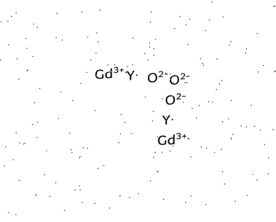 [Gd+3].[Gd+3].[O-2].[O-2].[O-2].[Y].[Y]